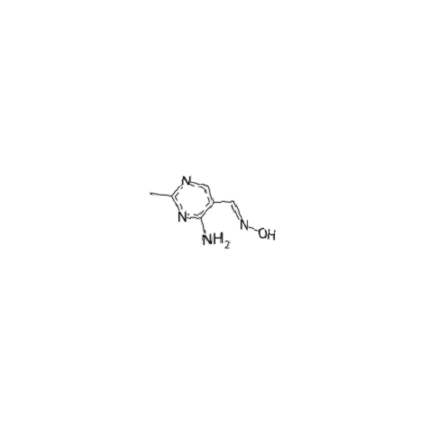 Cc1ncc(C=NO)c(N)n1